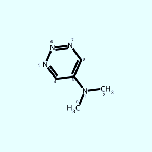 CN(C)c1[c]nnnc1